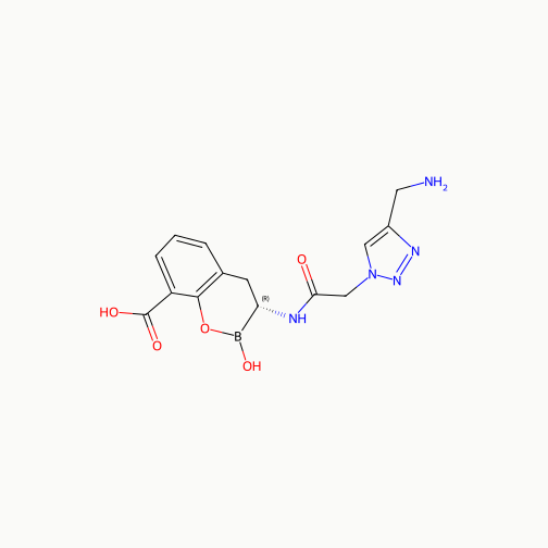 NCc1cn(CC(=O)N[C@H]2Cc3cccc(C(=O)O)c3OB2O)nn1